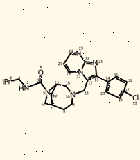 CC(C)CNC(=O)N1CC2CCN(Cc3c(-c4ccc(Cl)cc4)nc4ncccn34)CC1C2